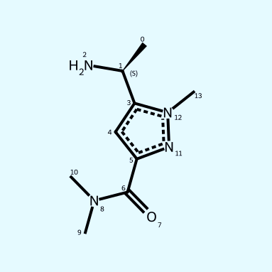 C[C@H](N)c1cc(C(=O)N(C)C)nn1C